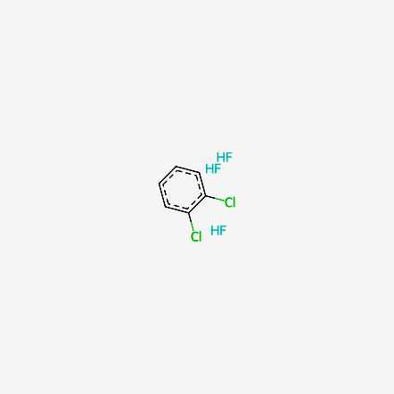 Clc1ccccc1Cl.F.F.F